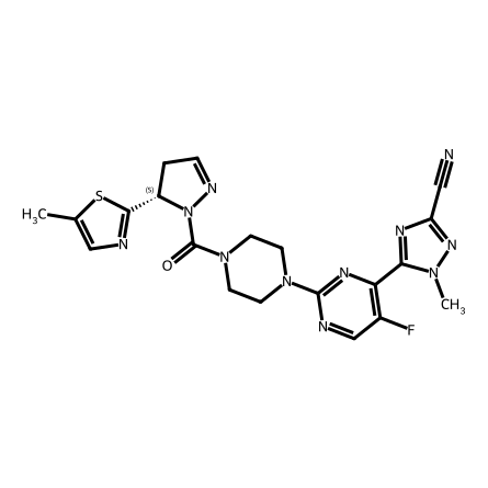 Cc1cnc([C@@H]2CC=NN2C(=O)N2CCN(c3ncc(F)c(-c4nc(C#N)nn4C)n3)CC2)s1